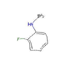 BNc1ccccc1F